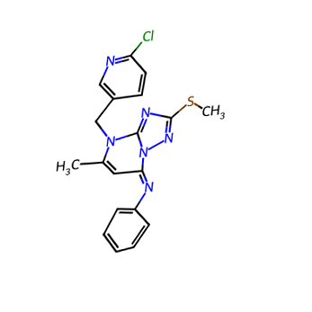 CSc1nc2n(Cc3ccc(Cl)nc3)c(C)c/c(=N\c3ccccc3)n2n1